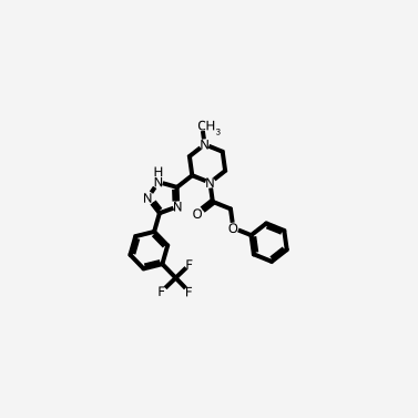 CN1CCN(C(=O)COc2ccccc2)C(c2nc(-c3cccc(C(F)(F)F)c3)n[nH]2)C1